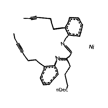 CC#CCCc1ccccc1N=CC(CCCCCCCCCCCCC)=Nc1ccccc1CCC#CC.[Ni]